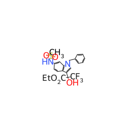 CCOC(=O)C(O)(c1cn(Cc2ccccc2)c2cc(NS(C)(=O)=O)ccc12)C(F)(F)F